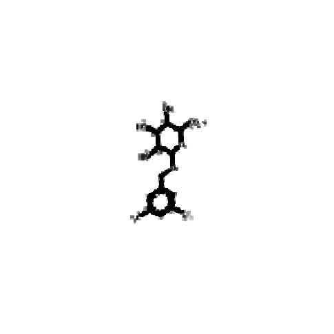 O=C(O)C1OC(OCc2cc(C(F)(F)F)cc(C(F)(F)F)c2)C(O)C(O)C1O